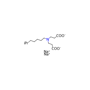 CC(C)CCCCCN(CCC(=O)[O-])CCC(=O)[O-].[Na+].[Na+]